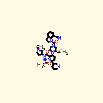 CCOC1(c2cccnc2)C=CC(N2CCN(C(=O)N3CCc4cccc(C#N)c43)C[C@H]2CC)=C(C(=O)N[C@@H]2CCN(C)C2)N1